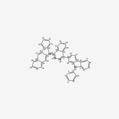 c1ccc(-n2c3ccccc3c3ccc(-c4nnc(-n5c6ccccc6c6cc7ccccc7cc65)c5ccccc45)cc32)cc1